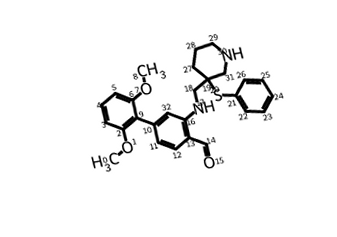 COc1cccc(OC)c1-c1ccc(C=O)c(NCC2(Sc3ccccc3)CCCNC2)c1